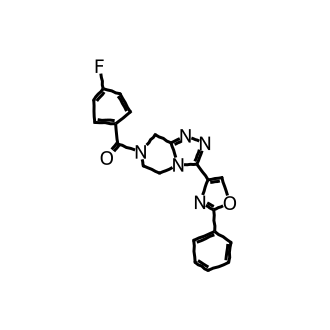 O=C(c1ccc(F)cc1)N1CCn2c(nnc2-c2coc(-c3ccccc3)n2)C1